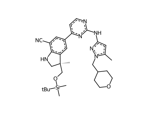 Cc1cc(Nc2nccc(-c3cc(C#N)c4c(c3)[C@@](C)(CO[Si](C)(C)C(C)(C)C)CN4)n2)nn1CC1CCOCC1